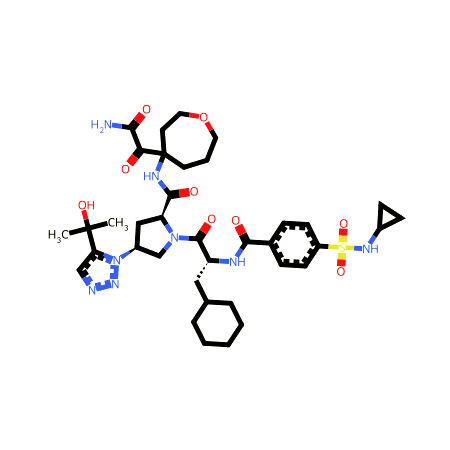 CC(C)(O)c1cnnn1[C@H]1C[C@@H](C(=O)NC2(C(=O)C(N)=O)CCCOCC2)N(C(=O)[C@@H](CC2CCCCC2)NC(=O)c2ccc(S(=O)(=O)NC3CC3)cc2)C1